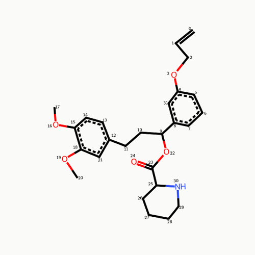 C=CCOc1cccc(C(CCc2ccc(OC)c(OC)c2)OC(=O)C2CCCCN2)c1